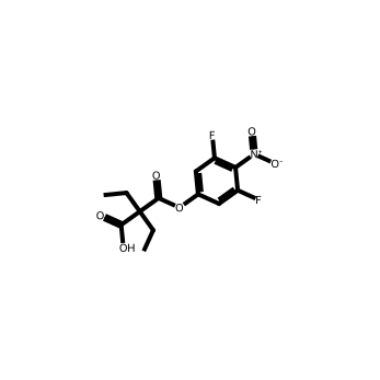 CCC(CC)(C(=O)O)C(=O)Oc1cc(F)c([N+](=O)[O-])c(F)c1